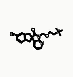 C[Si](C)(C)CCOCN1C(=O)C2(Cc3ccc(Br)cc3C2)c2cccnc21